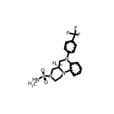 CNS(=O)(=O)N1CCN2c3ccccc3N(c3ccc(C(F)(F)F)cc3)C[C@@H]2C1